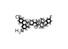 CCSc1cc(F)ccc1CN1CCN(C(=O)[C@H](N)C2CCN(CCc3cc(Cl)ccc3-c3cc(N)cc(F)c3)CC2)CC1